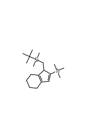 CC(C)(C)[Si](C)(C)CC1[C]([Ti]([CH3])([CH3])[CH3])=CC2=C1CCCC2